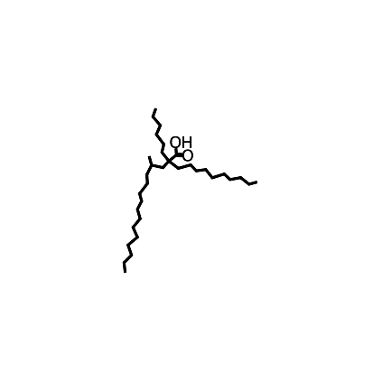 CCCCCCCCCCCCC(C)CC(CCCCCC)(CCCCCCCCCC)C(=O)O